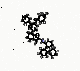 Cc1c(/C=C/c2cccc3c2-c2ccccc2C32CCCCC2)oc2c(-c3ncc(SC4=CC5C=C5C=C4)c(-c4ccncc4)n3)cccc12